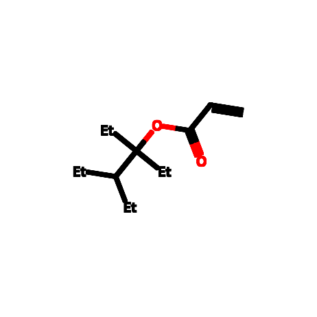 C=CC(=O)OC(CC)(CC)C(CC)CC